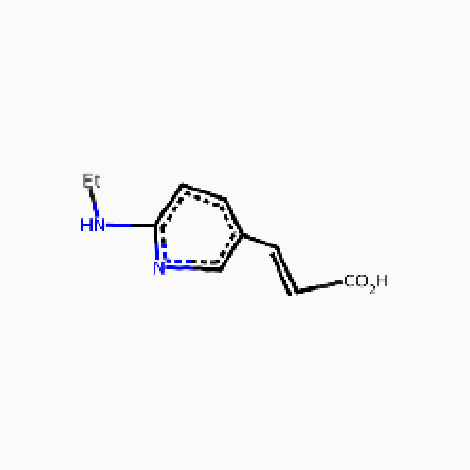 CCNc1ccc(/C=C/C(=O)O)cn1